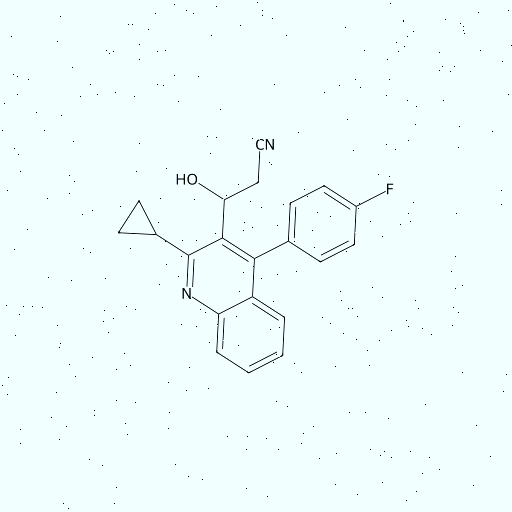 N#CCC(O)c1c(C2CC2)nc2ccccc2c1-c1ccc(F)cc1